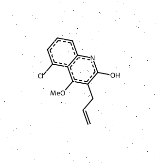 C=CCc1c(O)nc2cccc(Cl)c2c1OC